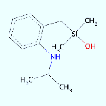 CC(C)Nc1ccccc1C[Si](C)(C)O